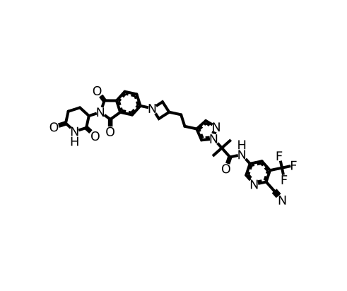 CC(C)(C(=O)Nc1cnc(C#N)c(C(F)(F)F)c1)n1cc(CCC2CN(c3ccc4c(c3)C(=O)N(C3CCC(=O)NC3=O)C4=O)C2)cn1